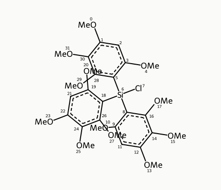 COc1cc(OC)c([Si](Cl)(c2c(OC)cc(OC)c(OC)c2OC)c2c(OC)cc(OC)c(OC)c2OC)c(OC)c1OC